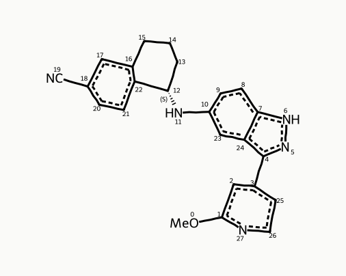 COc1cc(-c2n[nH]c3ccc(N[C@H]4CCCc5cc(C#N)ccc54)cc23)ccn1